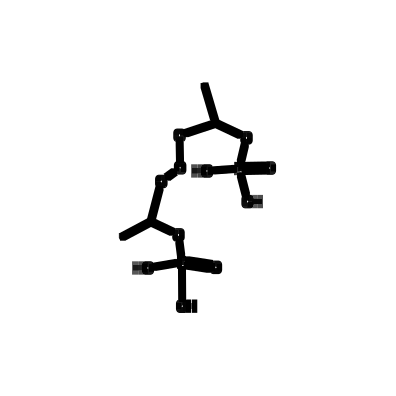 CC(OOOC(C)OP(=O)(O)O)OP(=O)(O)O